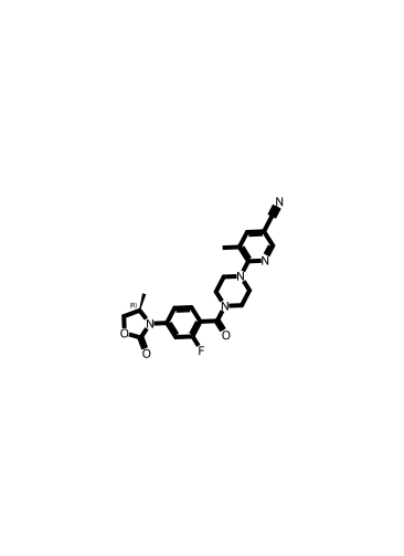 Cc1cc(C#N)cnc1N1CCN(C(=O)c2ccc(N3C(=O)OC[C@H]3C)cc2F)CC1